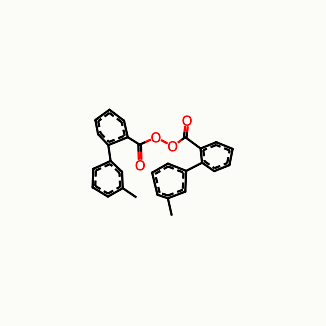 Cc1cccc(-c2ccccc2C(=O)OOC(=O)c2ccccc2-c2cccc(C)c2)c1